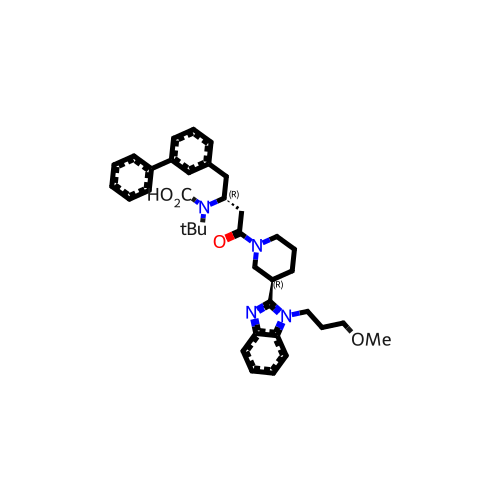 COCCCn1c([C@@H]2CCCN(C(=O)C[C@@H](Cc3cccc(-c4ccccc4)c3)N(C(=O)O)C(C)(C)C)C2)nc2ccccc21